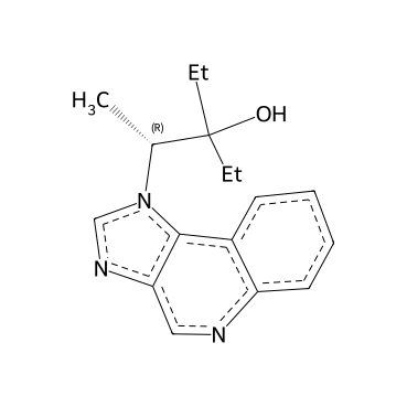 CCC(O)(CC)[C@@H](C)n1cnc2cnc3ccccc3c21